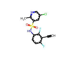 C#Cc1c(F)ccc(NS(=O)(=O)c2cc(Cl)cnc2C)c1F